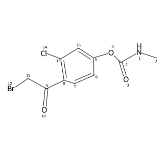 CNC(=O)Oc1ccc(C(=O)CBr)c(Cl)c1